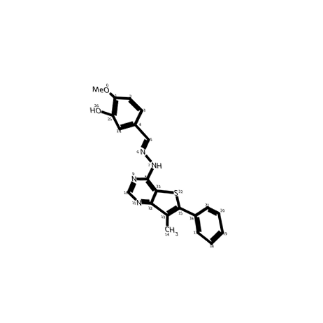 COc1ccc(C=NNc2ncnc3c(C)c(-c4ccccc4)sc23)cc1O